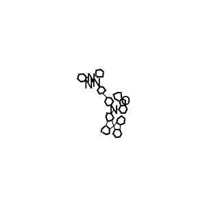 c1ccc2c(c1)-c1ccccc1C21c2ccccc2-c2ccc(N(c3ccc(-c4ccc(-n5c6ccccc6n6c7ccccc7nc56)cc4)cc3)c3cccc4oc5ccccc5c34)cc21